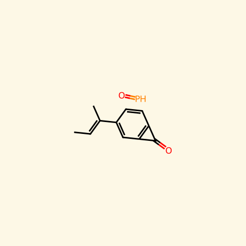 CC=C(C)c1ccc2c(=O)c2c1.O=P